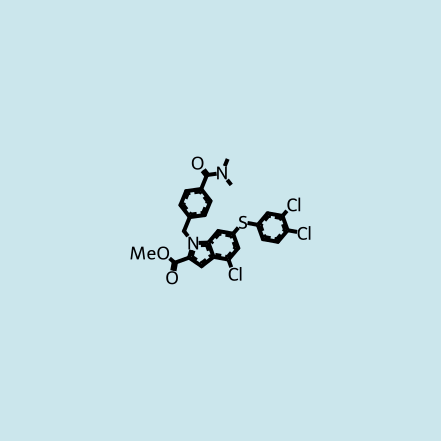 COC(=O)c1cc2c(Cl)cc(Sc3ccc(Cl)c(Cl)c3)cc2n1Cc1ccc(C(=O)N(C)C)cc1